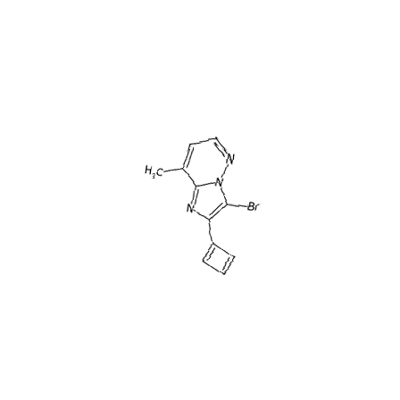 Cc1ccnn2c(Br)c(C3=CC=C3)nc12